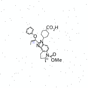 C/C=C(/Oc1ccccc1)c1nc2c3c(ccc2n1C1CCC(C(=O)O)CC1)N(C(=O)OC)[C@@H](C)CC3